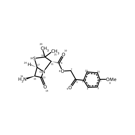 COc1ccc(C(=O)COC(=O)[C@@H]2N3C(=O)[C@@H](N)[C@H]3SC2(C)C)cc1